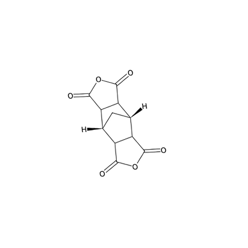 O=C1OC(=O)C2C1[C@H]1C[C@@H]2C2C(=O)OC(=O)C21